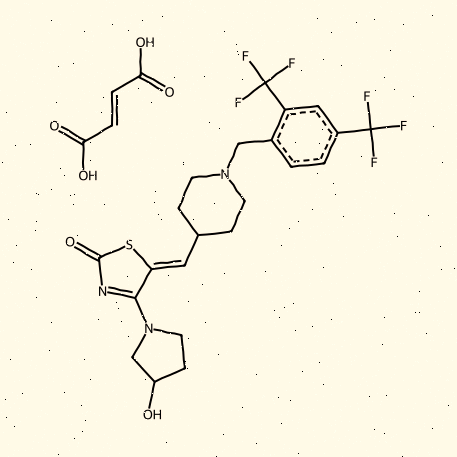 O=C(O)C=CC(=O)O.O=C1N=C(N2CCC(O)C2)C(=CC2CCN(Cc3ccc(C(F)(F)F)cc3C(F)(F)F)CC2)S1